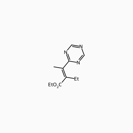 CCOC(=O)C(CC)=C(C)c1ncncn1